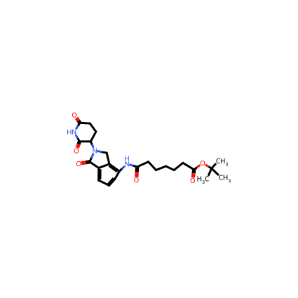 CC(C)(C)OC(=O)CCCCCC(=O)Nc1cccc2c1CN(C1CCC(=O)NC1=O)C2=O